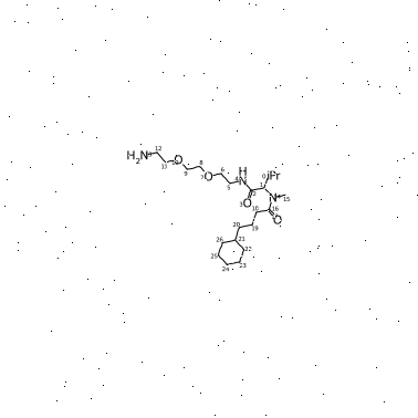 CC(C)C(C(=O)NCCOCCOCCN)N(C)C(=O)CCCC1CCCCC1